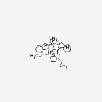 CCC[CH2][Hf]([CH2]CCC)([CH]1C(CC)=Cc2ccccc21)[Si]1([Hf]([CH2]CCC)([CH2]CCC)[CH]2C(CC)=Cc3ccccc32)CCCC1